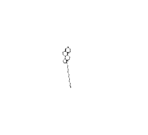 C[C@]12CCC(=O)C=C1CCC1C2CC[C@@]2(C)C1CC[C@@H]2CCCCCCCCCCC(=O)O